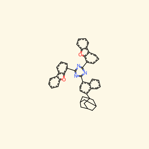 c1ccc2c(c1)oc1c(-c3nc(-c4ccc(C56CC7CC(CC(C7)C5)C6)c5ccccc45)nc(-c4cccc5c4oc4ccccc45)n3)cccc12